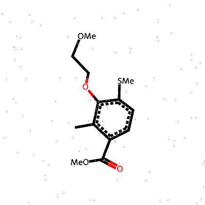 COCCOc1c(SC)ccc(C(=O)OC)c1C